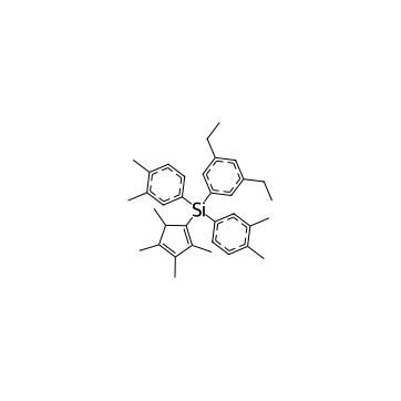 CCc1cc(CC)cc([Si](C2=C(C)C(C)=C(C)C2C)(c2ccc(C)c(C)c2)c2ccc(C)c(C)c2)c1